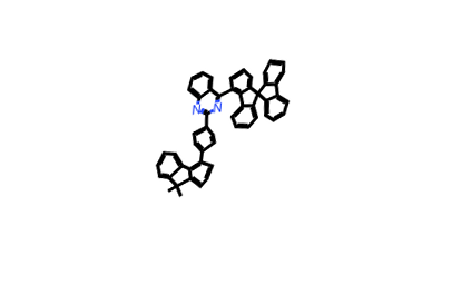 CC1(C)c2ccccc2-c2c(-c3ccc(-c4nc(-c5cccc6c5-c5ccccc5C65c6ccccc6-c6ccccc65)c5ccccc5n4)cc3)cccc21